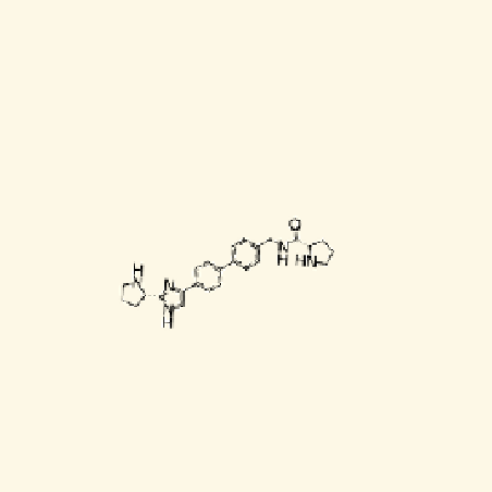 O=C(NCc1ccc(-c2ccc(-c3c[nH]c([C@@H]4CCCN4)n3)cc2)cc1)[C@@H]1CCCN1